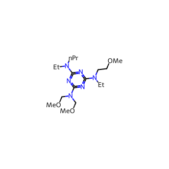 CCCN(CC)c1nc(N(CC)CCOC)nc(N(COC)COC)n1